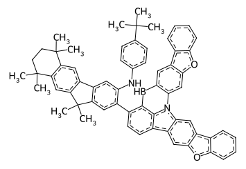 CC(C)(C)c1ccc(Nc2cc3c(cc2-c2ccc4c5cc6oc7ccccc7c6cc5n5c4c2Bc2cc4c(cc2-5)oc2ccccc24)C(C)(C)c2cc4c(cc2-3)C(C)(C)CCC4(C)C)cc1